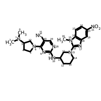 CN(C)C1CCN(c2nc(NC3CCCN(c4nc5cc([N+](=O)[O-])ccc5n4C)C3)ncc2C#N)C1